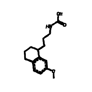 COc1ccc2c(c1)C(CCCNC(=O)O)CCC2